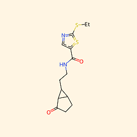 CCSc1ncc(C(=O)NCCC2C3CCC(=O)C23)s1